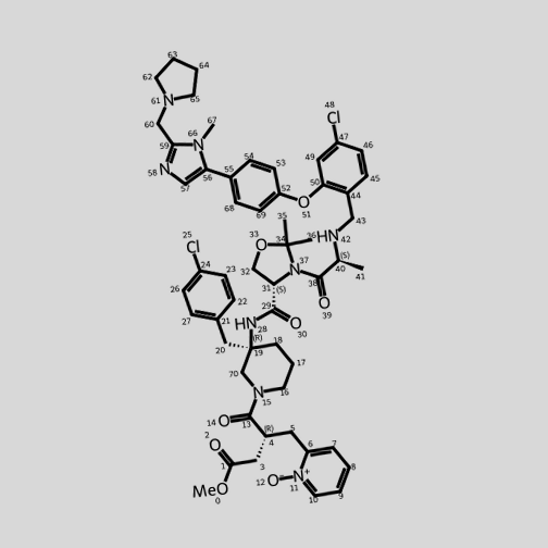 COC(=O)C[C@@H](Cc1cccc[n+]1[O-])C(=O)N1CCC[C@](Cc2ccc(Cl)cc2)(NC(=O)[C@@H]2COC(C)(C)N2C(=O)[C@H](C)NCc2ccc(Cl)cc2Oc2ccc(-c3cnc(CN4CCCC4)n3C)cc2)C1